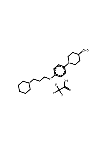 O=C(O)C(F)(F)F.O=CC1CCN(c2ccc(OCCCN3CCCCC3)cc2)CC1